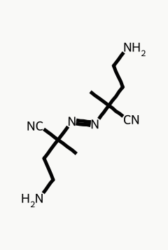 CC(C#N)(CCN)N=NC(C)(C#N)CCN